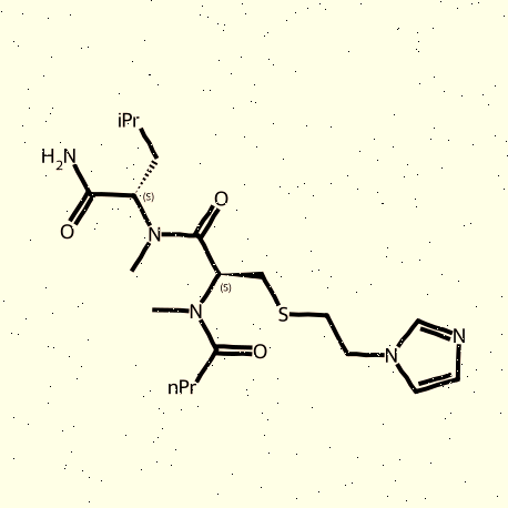 CCCC(=O)N(C)[C@H](CSCCn1ccnc1)C(=O)N(C)[C@@H](CC(C)C)C(N)=O